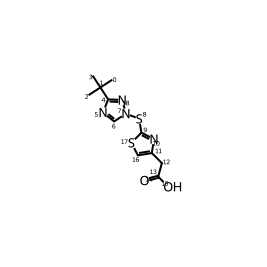 CC(C)(C)c1ncn(Sc2nc(CC(=O)O)cs2)n1